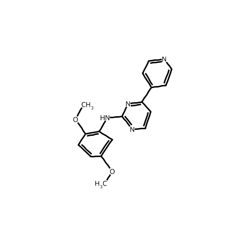 COc1ccc(OC)c(Nc2nccc(-c3ccncc3)n2)c1